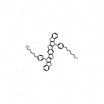 CCCCCCc1ccc(-n2c3c4ccccc4sc3c3sc4cc5c(cc4c32)sc2c3sc4ccccc4c3n(-c3ccc(CCCCCC)cc3)c52)cc1